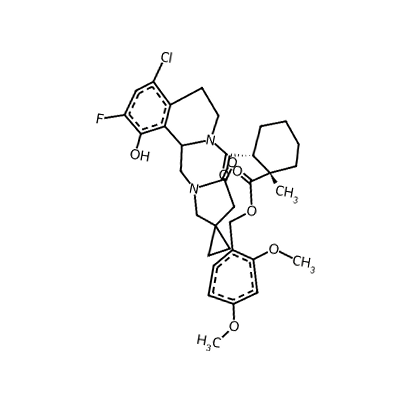 COc1ccc(COC(=O)[C@@]2(C)CCCC[C@H]2C(=O)N2CCc3c(Cl)cc(F)c(O)c3C2CN2CC3(CC3)CC2=O)c(OC)c1